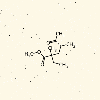 CCC(C)(CC(C)C(C)=O)C(=O)OC